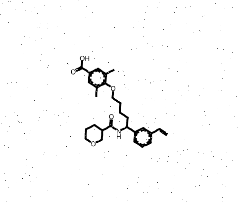 C=Cc1cccc(C(CCCCOc2c(C)cc(C(=O)O)cc2C)NC(=O)C2CCCOC2)c1